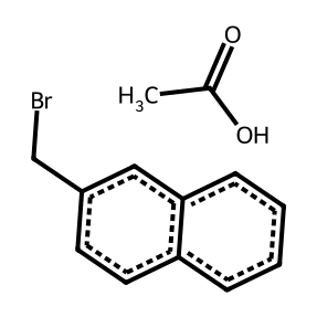 BrCc1ccc2ccccc2c1.CC(=O)O